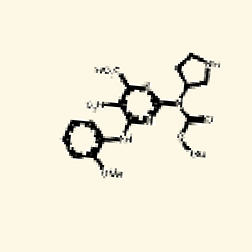 COc1ccccc1Nc1nc(N(C(=O)OC(C)(C)C)C2CCNC2)nc(C(=O)O)c1[N+](=O)[O-]